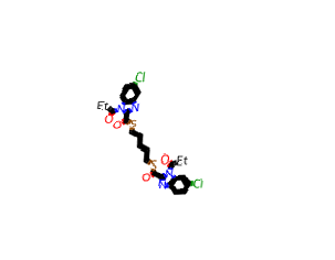 CCC(=O)n1c(C(=O)SCCCCCSC(=O)c2nc3ccc(Cl)cc3n2C(=O)CC)nc2cc(Cl)ccc21